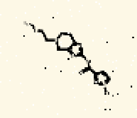 COCCN1CCc2sc(NC(=O)c3ccn(C)n3)nc2C1